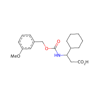 COc1cccc(COC(=O)NC(CC(=O)O)C2CCCCC2)c1